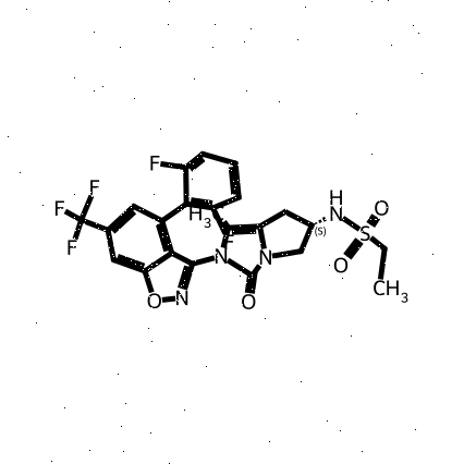 CCS(=O)(=O)N[C@H]1Cc2c(C)n(-c3noc4cc(C(F)(F)F)cc(-c5c(F)cccc5F)c34)c(=O)n2C1